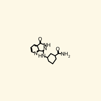 NC(=O)C1CCCC(Nc2n[nH]c(=O)c3cccnc23)C1